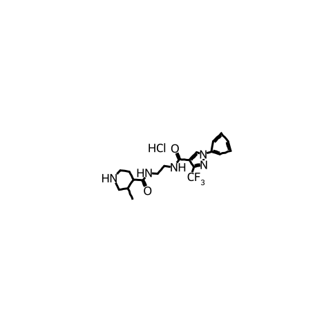 CC1CNCCC1C(=O)NCCNC(=O)c1cn(-c2ccccc2)nc1C(F)(F)F.Cl